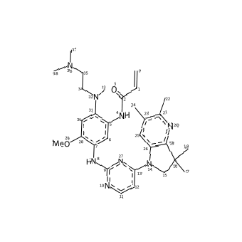 C=CC(=O)Nc1cc(Nc2nccc(N3CC(C)(C)c4nc(C)c(C)cc43)n2)c(OC)cc1N(C)CCN(C)C